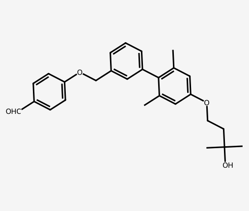 Cc1cc(OCCC(C)(C)O)cc(C)c1-c1cccc(COc2ccc(C=O)cc2)c1